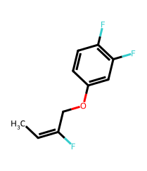 C/C=C(/F)COc1ccc(F)c(F)c1